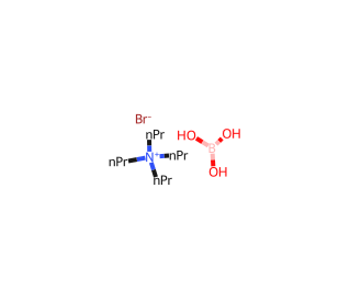 CCC[N+](CCC)(CCC)CCC.OB(O)O.[Br-]